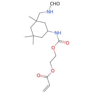 C=CC(=O)OCCOC(=O)NC1CC(C)(C)CC(C)(CNC=O)C1